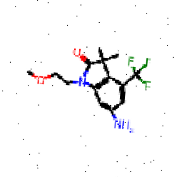 COCCN1C(=O)C(C)(C)c2c1cc(N)cc2C(F)(F)F